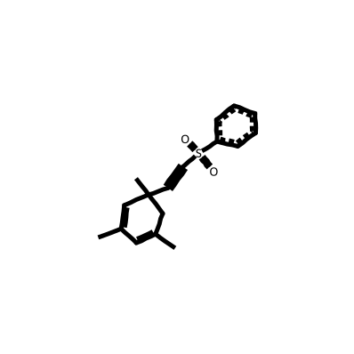 CC1=CC(C)(C#CS(=O)(=O)c2ccccc2)CC(C)=C1